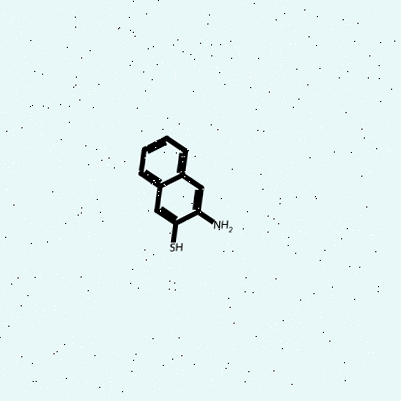 Nc1cc2ccccc2cc1S